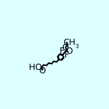 CCOC(=O)C(F)(F)c1ccc(CCCCCCC(=O)O)cc1